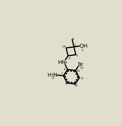 CC1(O)CC(Nc2c(N)cccc2Br)C1